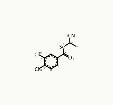 CC(C#N)[Se]C(=O)c1ccc(Cl)c(Cl)c1